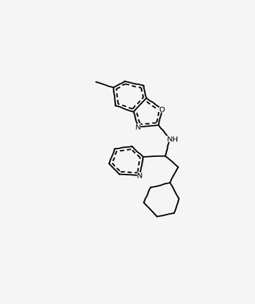 Cc1ccc2oc(NC(CC3CCCCC3)c3ccccn3)nc2c1